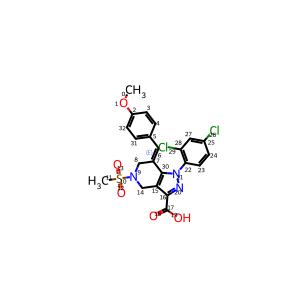 COc1ccc(/C=C2\CN(S(C)(=O)=O)Cc3c(C(=O)O)nn(-c4ccc(Cl)cc4Cl)c32)cc1